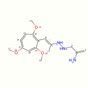 C=C(N)CNN/C(C)=C/C1=C(OC)C=C=C(OC)C=C1OC